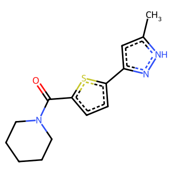 Cc1cc(-c2ccc(C(=O)N3CCCCC3)s2)n[nH]1